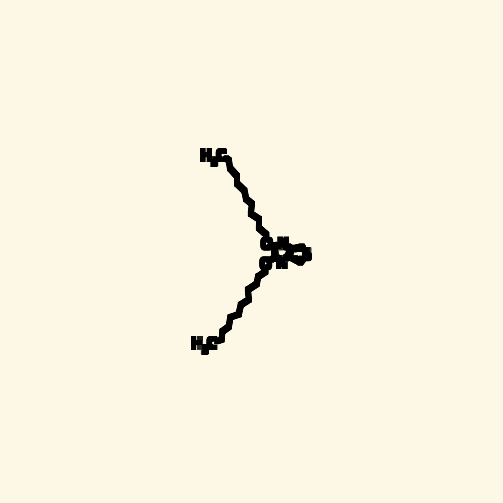 CCCCCCCCCCCCOc1nc2cscc2nc1OCCCCCCCCCCCC